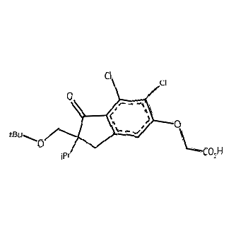 CC(C)C1(COC(C)(C)C)Cc2cc(OCC(=O)O)c(Cl)c(Cl)c2C1=O